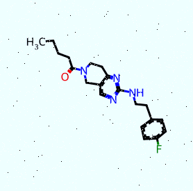 CCCCC(=O)N1CCc2nc(NCCc3ccc(F)cc3)ncc2C1